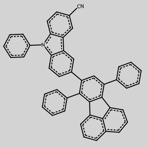 N#Cc1ccc2c(c1)c1cc(-c3cc(-c4ccccc4)c4c(c3-c3ccccc3)-c3cccc5cccc-4c35)ccc1n2-c1ccccc1